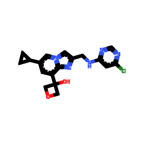 OC1(c2cc(C3CC3)cn3cc(CNc4cc(Cl)ncn4)nc23)COC1